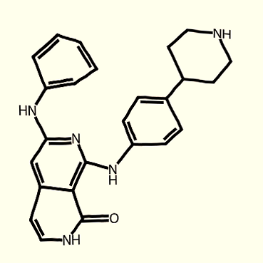 O=c1[nH]ccc2cc(Nc3ccccc3)nc(Nc3ccc(C4CCNCC4)cc3)c12